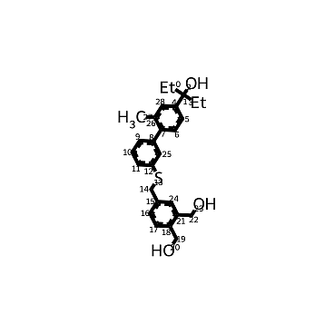 CCC(O)(CC)c1ccc(-c2cccc(SCc3ccc(CO)c(CO)c3)c2)c(C)c1